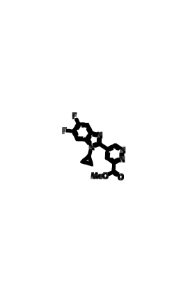 COC(=O)c1cc(-c2nc3cc(F)c(F)cc3n2C2CC2)cnn1